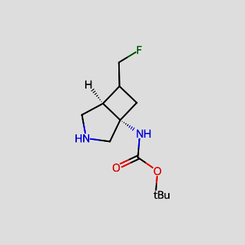 CC(C)(C)OC(=O)N[C@]12CNC[C@H]1C(CF)C2